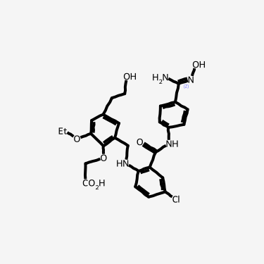 CCOc1cc(CCO)cc(CNc2ccc(Cl)cc2C(=O)Nc2ccc(/C(N)=N/O)cc2)c1OCC(=O)O